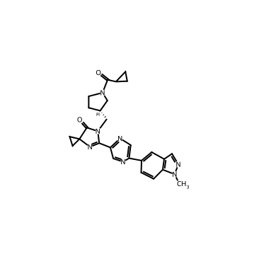 Cn1ncc2cc(-c3cnc(C4=NC5(CC5)C(=O)N4C[C@@H]4CCN(C(=O)C5CC5)C4)cn3)ccc21